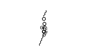 CCCCCCCCOc1ccc(C(=O)OC2CCC([C@H]3CC[C@H](CCCCC)CC3)CC2)c(F)c1F